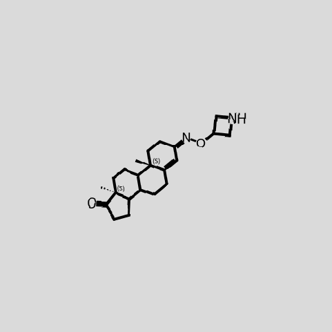 C[C@]12CCC3C(CCC4=CC(=NOC5CNC5)CC[C@]43C)C1CCC2=O